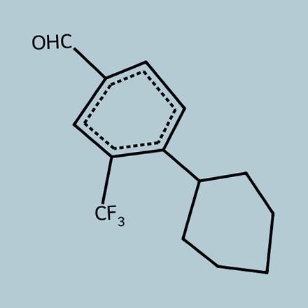 O=Cc1ccc(C2CCCCC2)c(C(F)(F)F)c1